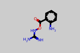 N=C(N)NOC(=O)c1ccccc1N